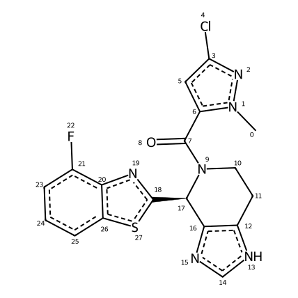 Cn1nc(Cl)cc1C(=O)N1CCc2[nH]cnc2[C@H]1c1nc2c(F)cccc2s1